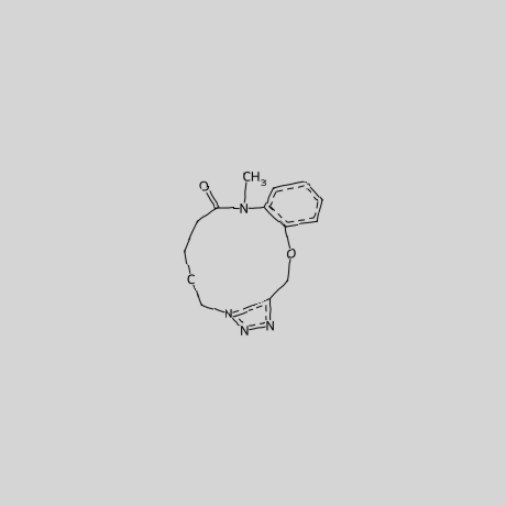 CN1C(=O)CCCCn2cc(nn2)COc2ccccc21